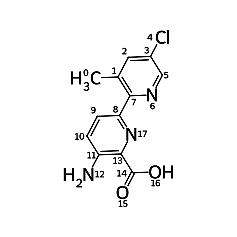 Cc1cc(Cl)cnc1-c1ccc(N)c(C(=O)O)n1